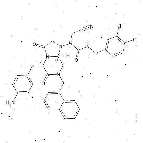 N#CCN(C(=O)NCc1ccc(Cl)c(Cl)c1)N1CC(=O)N2[C@@H](Cc3ccc(N)cc3)C(=O)N(Cc3cccc4ccccc34)C[C@@H]21